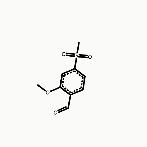 COc1cc(S(C)(=O)=O)ccc1C=O